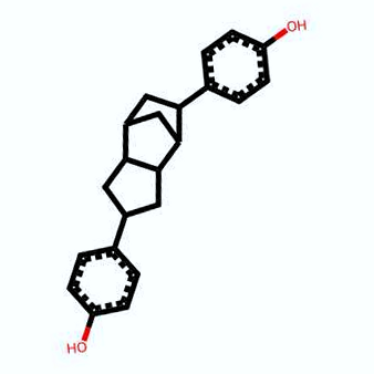 Oc1ccc(C2CC3C4CC(c5ccc(O)cc5)C(C4)C3C2)cc1